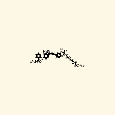 CNC(=O)c1ccccc1Sc1ccc2c(C#Cc3cccc(NC(=O)OCCOCCOCCOC)c3)n[nH]c2c1